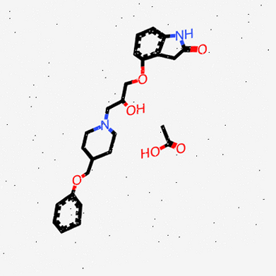 CC(=O)O.O=C1Cc2c(cccc2OCC(O)CN2CCC(COc3ccccc3)CC2)N1